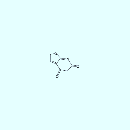 O=C1CC(=O)C2=CCSC2=N1